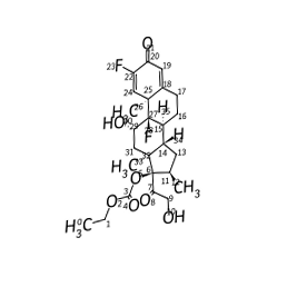 CCOC(=O)O[C@]1(C(=O)CO)[C@H](C)C[C@H]2[C@@H]3CCC4=CC(=O)C(F)=C[C@]4(C)[C@@]3(F)[C@@H](O)C[C@@]21C